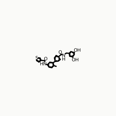 Cc1ccc(NC(=O)c2ccsc2)cc1-c1ccc(C(=O)NCc2cc(O)cc(O)c2)cc1